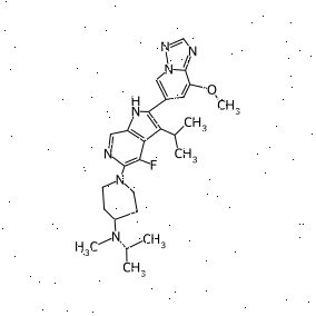 COc1cc(-c2[nH]c3cnc(N4CCC(N(C)C(C)C)CC4)c(F)c3c2C(C)C)cn2ncnc12